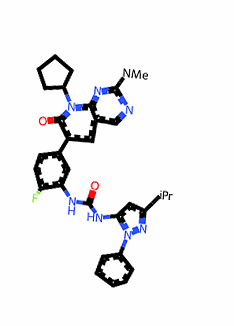 CNc1ncc2cc(-c3ccc(F)c(NC(=O)Nc4cc(C(C)C)nn4-c4ccccc4)c3)c(=O)n(C3CCCC3)c2n1